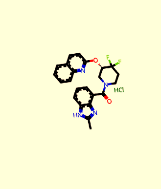 Cc1nc2c(C(=O)N3CCC(F)(F)[C@@H](Oc4ccc5ccccc5n4)C3)cccc2[nH]1.Cl